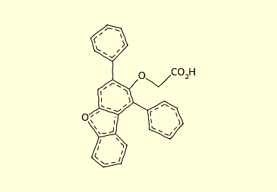 O=C(O)COc1c(-c2ccccc2)cc2oc3ccccc3c2c1-c1ccccc1